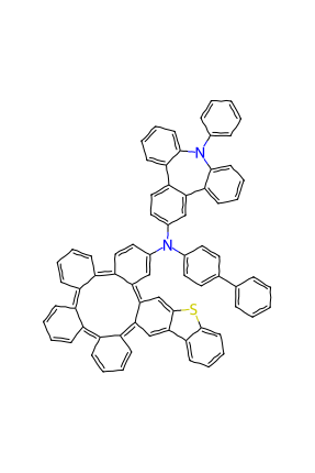 c1ccc(-c2ccc(N(c3ccc4c(c3)-c3ccccc3N(c3ccccc3)c3ccccc3-4)c3ccc4c5ccccc5c5ccccc5c5ccccc5c5cc6c(cc5c4c3)sc3ccccc36)cc2)cc1